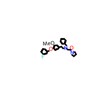 COc1cc(CCN(CC(=O)N2CCCC2)Cc2ccccc2)ccc1OCc1cccc(F)c1